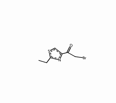 CCc1nc(C(=O)CBr)cs1